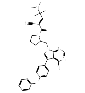 CN(C)C(C)(C)/C=C(\C#N)C(=O)N1CCCC1Cn1cc(-c2ccc(Oc3ccccc3)cc2)c2c(N)ncnc21